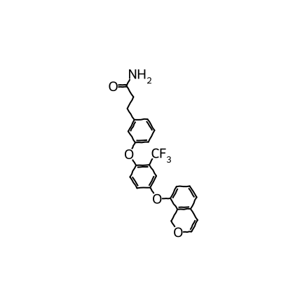 NC(=O)CCc1cccc(Oc2ccc(Oc3cccc4c3COC=C4)cc2C(F)(F)F)c1